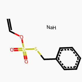 C=COS(=O)(=O)SCc1ccccc1.[NaH]